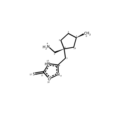 C[C@@H]1CC[C@@](CN)(Cc2noc(=S)[nH]2)C1